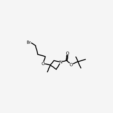 CC(C)(C)OC(=O)N1CC(C)(OCCCBr)C1